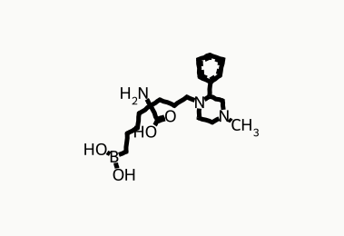 CN1CCN(CCCC(N)(CCCCB(O)O)C(=O)O)C(c2ccccc2)C1